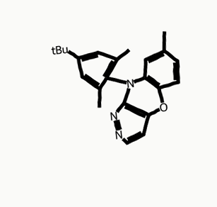 Cc1ccc2c(c1)N(c1c(C)cc(C(C)(C)C)cc1C)c1nnccc1O2